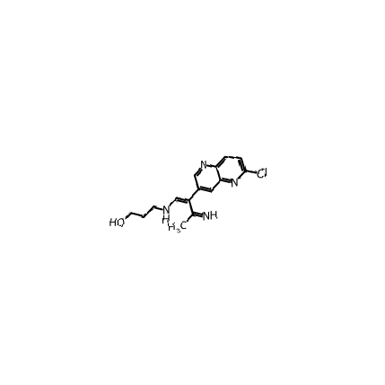 CC(=N)/C(=C\NCCCO)c1cnc2ccc(Cl)nc2c1